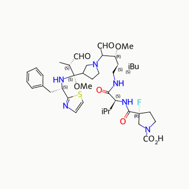 CC[C@H](C)[C@@H](CNC(=O)[C@@H](NC(=O)[C@@]1(F)CCN(C(=O)O)C1)C(C)C)[C@@H](OC)C(C=O)N1CCC([C@](N[C@@H](Cc2ccccc2)c2nccs2)(OC)[C@H](C)C=O)C1